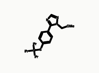 COCn1ncnc1-c1ccc(S[Si](C(C)C)(C(C)C)C(C)C)cc1